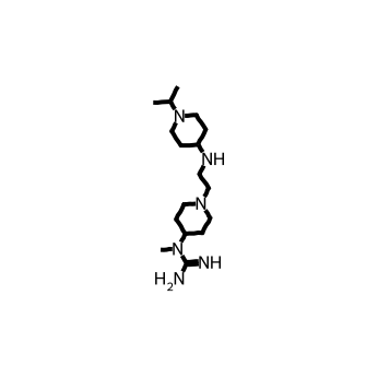 CC(C)N1CCC(NCCN2CCC(N(C)C(=N)N)CC2)CC1